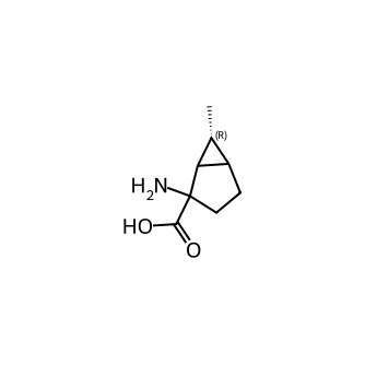 C[C@@H]1C2CCC(N)(C(=O)O)C21